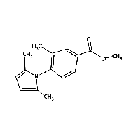 COC(=O)c1ccc(-n2c(C)ccc2C)c(C)c1